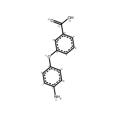 Nc1ccc(Oc2cccc(C(=O)O)c2)cc1